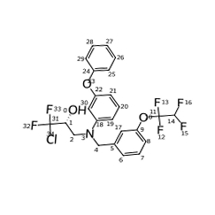 O[C@H](CN(Cc1cccc(OC(F)(F)C(F)F)c1)c1cccc(Oc2ccccc2)c1)C(F)(F)Cl